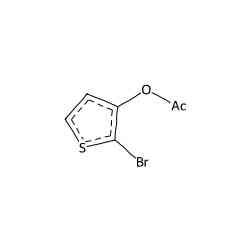 CC(=O)Oc1ccsc1Br